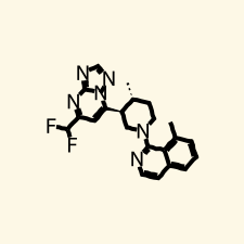 Cc1cccc2ccnc(N3CC[C@@H](C)[C@H](c4cc(C(F)F)nc5ncnn45)C3)c12